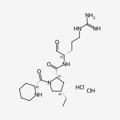 CC[C@H]1C[C@@H](C(=O)N[C@H](C=O)CCCNC(=N)N)N(C(=O)[C@H]2CCCCN2)C1.Cl.Cl